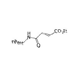 CCCCCNC(=O)C=CC(=O)OCC